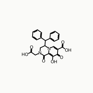 O=C(O)CN1CC(C(c2ccccc2)c2ccccc2)n2cc(C(=O)O)c(=O)c(O)c2C1=O